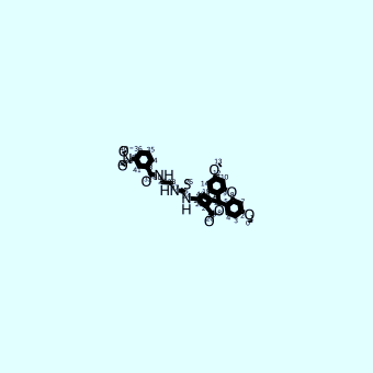 COc1ccc2c(c1)Oc1cc(OC)ccc1C21OC(=O)c2cc(NC(=S)NCCNC(=O)c3cccc([N+](=O)[O-])c3)ccc21